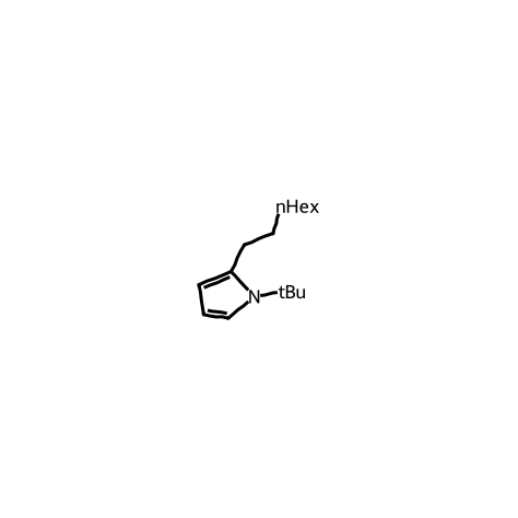 CCCCCCCCc1cccn1C(C)(C)C